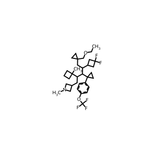 CCOCC1(C[C](C2CC(F)(F)C2)C(C(CC2CN(C)C2)C2(C)CCC2)C2(c3ccc(OC(F)(F)F)cc3)CC2)CC1